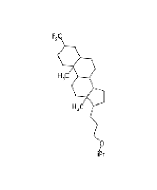 CC(C)OCCCC1CCC2C3CCC4CC(C(F)(F)F)CCC4(C)C3CCC12C